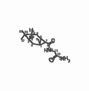 CC12C[C@H]3[C@@H](CC1C2C(=O)NCC(N)=O)C3(C)C